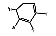 [2H][C]1CC=C(F)C([2H])=C1Br